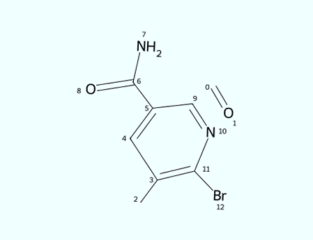 C=O.Cc1cc(C(N)=O)cnc1Br